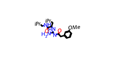 COc1cccc(CC(=O)N=C(N)NC(CC(C)C)C(=O)NCC(C)C)c1